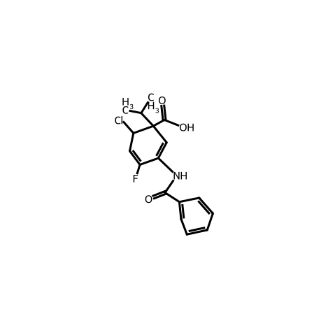 CC(C)C1(C(=O)O)C=C(NC(=O)c2ccccc2)C(F)=CC1Cl